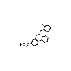 Cc1ccccc1CCCc1cc(C(=O)O)ccc1-c1ccccc1